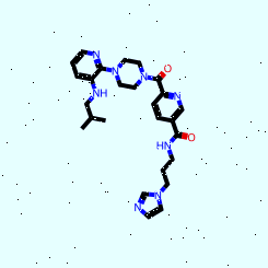 CC(C)CNc1cccnc1N1CCN(C(=O)c2ccc(C(=O)NCCCn3ccnc3)cn2)CC1